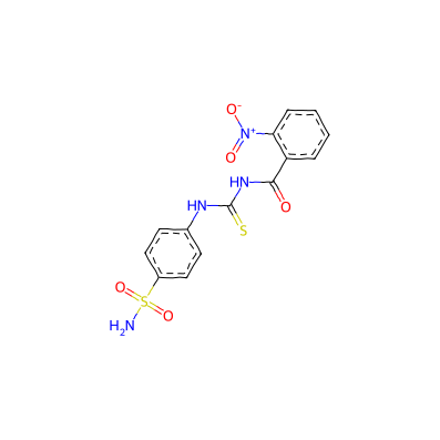 NS(=O)(=O)c1ccc(NC(=S)NC(=O)c2ccccc2[N+](=O)[O-])cc1